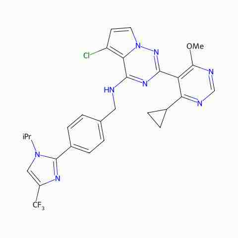 COc1ncnc(C2CC2)c1-c1nc(NCc2ccc(-c3nc(C(F)(F)F)cn3C(C)C)cc2)c2c(Cl)ccn2n1